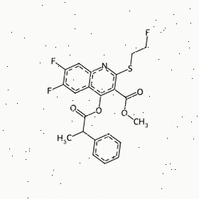 COC(=O)c1c(SCCF)nc2cc(F)c(F)cc2c1OC(=O)C(C)c1ccccc1